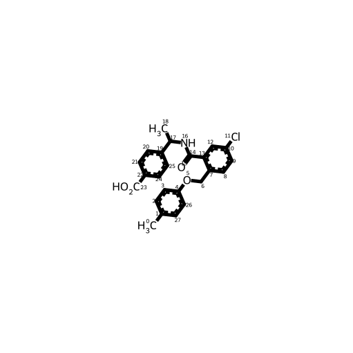 Cc1ccc(OCc2ccc(Cl)cc2C(=O)NC(C)c2ccc(C(=O)O)cc2)cc1